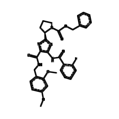 COc1ccc(CNC(=O)c2nc([C@H]3CCCN3C(=O)OCc3ccccc3)sc2NC(=O)c2ccccc2F)c(OC)c1